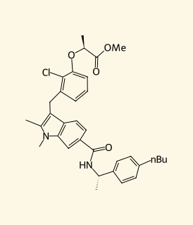 CCCCc1ccc([C@H](C)NC(=O)c2ccc3c(Cc4cccc(O[C@@H](C)C(=O)OC)c4Cl)c(C)n(C)c3c2)cc1